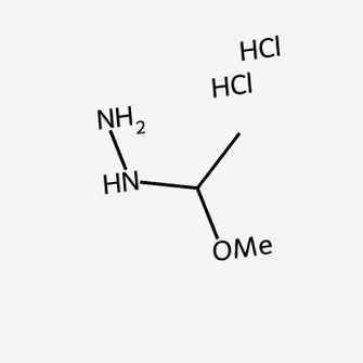 COC(C)NN.Cl.Cl